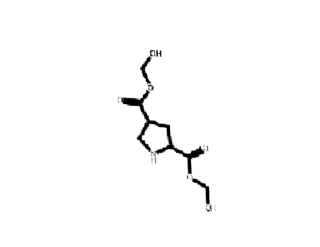 O=C(OCO)C1CNC(C(=O)OCO)C1